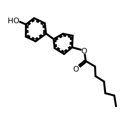 CCCCCCC(=O)Oc1ccc(-c2ccc(O)cc2)cc1